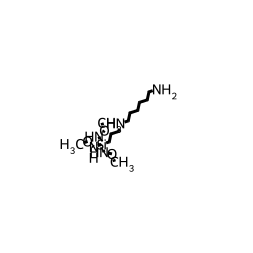 CON[Si](CCCNCCCCCCN)(NOC)NOC